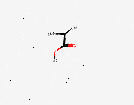 CCOC(=O)C(C#N)NC